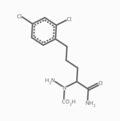 NC(=O)C(CCCc1ccc(Cl)cc1Cl)N(N)C(=O)O